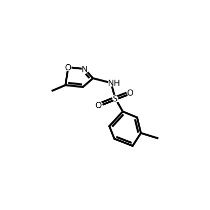 Cc1cccc(S(=O)(=O)Nc2cc(C)on2)c1